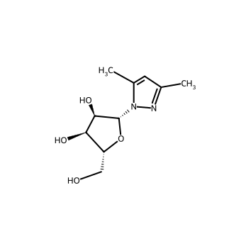 Cc1cc(C)n([C@@H]2O[C@H](CO)[C@@H](O)[C@H]2O)n1